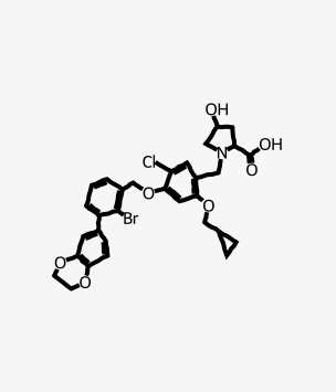 O=C(O)C1CC(O)CN1Cc1cc(Cl)c(OCc2cccc(-c3ccc4c(c3)OCCO4)c2Br)cc1OCC1CC1